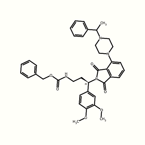 COc1ccc([C@@H](CCNC(=O)OCc2ccccc2)N2C(=O)c3cccc(N4CCN(C(C)c5ccccc5)CC4)c3C2=O)cc1OC